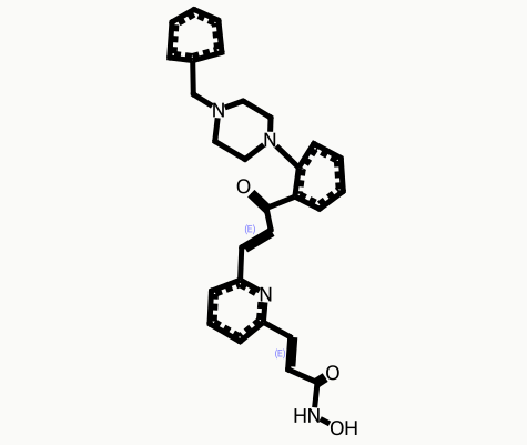 O=C(/C=C/c1cccc(/C=C/C(=O)c2ccccc2N2CCN(Cc3ccccc3)CC2)n1)NO